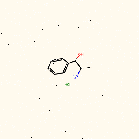 C[C@H](N)[C@@H](O)c1ccccc1.Cl